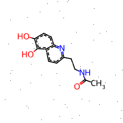 CC(=O)NCCc1ccc2c(O)c(O)ccc2n1